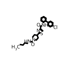 CCCCCNC(=O)N1CCC(c2nc(C(=O)Nc3ccccc3-c3ccc(Cl)cc3)cs2)CC1